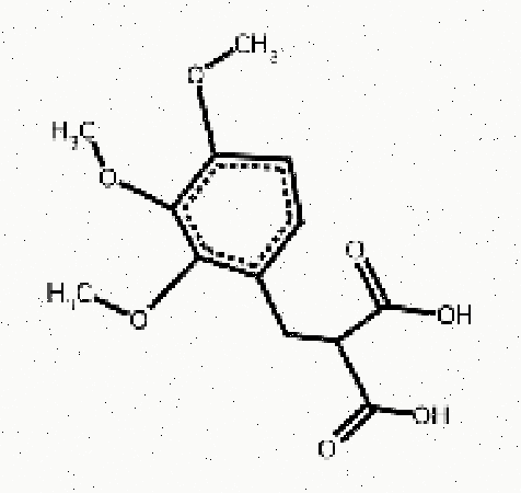 COc1ccc(CC(C(=O)O)C(=O)O)c(OC)c1OC